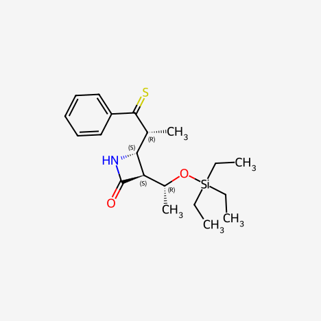 CC[Si](CC)(CC)O[C@H](C)[C@H]1C(=O)N[C@@H]1[C@@H](C)C(=S)c1ccccc1